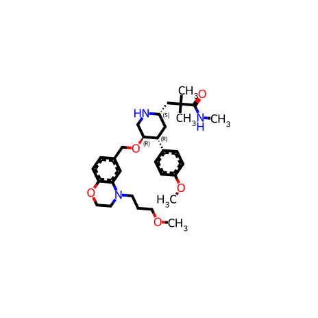 CNC(=O)C(C)(C)C[C@@H]1C[C@H](c2ccc(OC)cc2)[C@@H](OCc2ccc3c(c2)N(CCCOC)CCO3)CN1